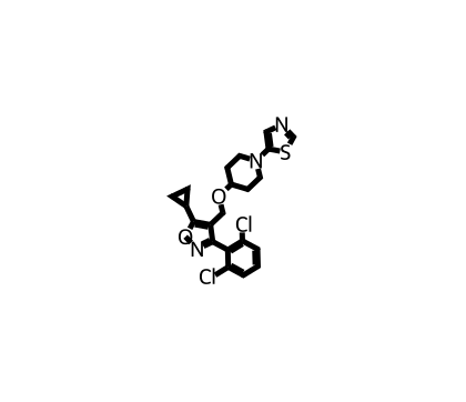 Clc1cccc(Cl)c1-c1noc(C2CC2)c1COC1CCN(c2cncs2)CC1